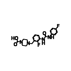 O=C(Nc1ccc(F)cc1)Nc1cccc(CN2CCN(C(=O)O)CC2)c1F